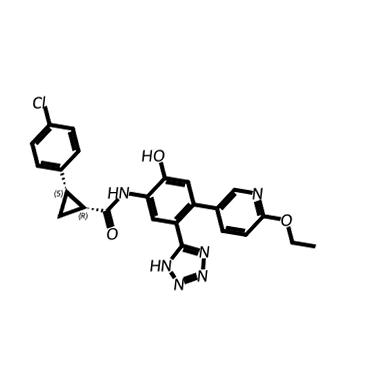 CCOc1ccc(-c2cc(O)c(NC(=O)[C@@H]3C[C@@H]3c3ccc(Cl)cc3)cc2-c2nnn[nH]2)cn1